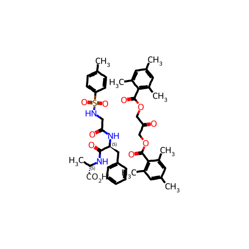 Cc1cc(C)c(C(=O)OCC(=O)COC(=O)c2c(C)cc(C)cc2C)c(C)c1.Cc1ccc(S(=O)(=O)NCC(=O)N[C@@H](Cc2ccccc2)C(=O)N[C@@H](C)C(=O)O)cc1